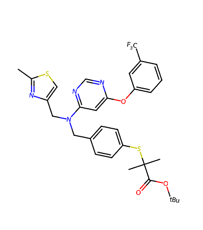 Cc1nc(CN(Cc2ccc(SC(C)(C)C(=O)OC(C)(C)C)cc2)c2cc(Oc3cccc(C(F)(F)F)c3)ncn2)cs1